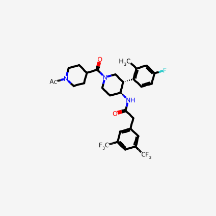 CC(=O)N1CCC(C(=O)N2CC[C@H](NC(=O)Cc3cc(C(F)(F)F)cc(C(F)(F)F)c3)[C@@H](c3ccc(F)cc3C)C2)CC1